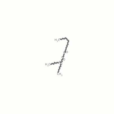 CCCCC/C=C\C/C=C\CCCCCCCC(=O)OCCCOC(=O)CCC(OCCCCCCCC)OCCCCCCCC